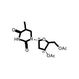 CC(=O)OCC1O[C@@H](N2CC(C)C(=O)NC2=O)C[C@H]1OC(C)=O